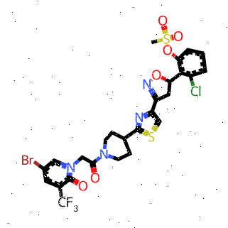 CS(=O)(=O)Oc1cccc(Cl)c1C1CC(c2csc(C3CCN(C(=O)Cn4cc(Br)cc(C(F)(F)F)c4=O)CC3)n2)=NO1